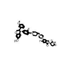 COc1cccc(C2COc3cc(O)ccc3[C@H]2c2ccc(N3CCC(CN4CCN(c5cc6c(cc5F)C(=O)N([C@H]5CCC(=O)NC5=O)C6)CC4)CC3)c(F)c2)c1